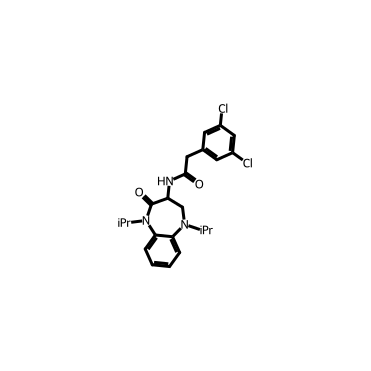 CC(C)N1CC(NC(=O)Cc2cc(Cl)cc(Cl)c2)C(=O)N(C(C)C)c2ccccc21